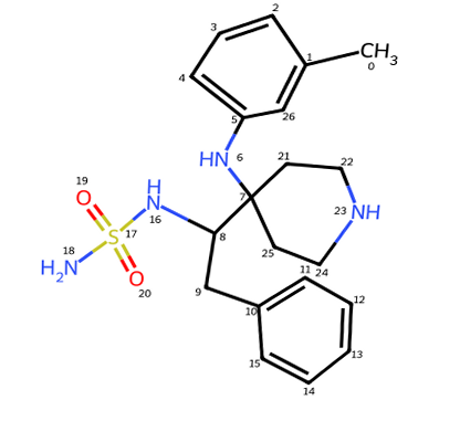 Cc1cccc(NC2(C(Cc3ccccc3)NS(N)(=O)=O)CCNCC2)c1